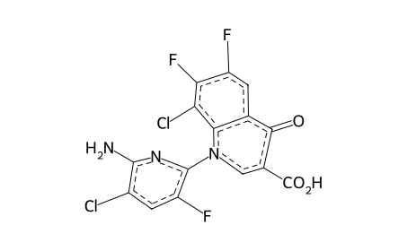 Nc1nc(-n2cc(C(=O)O)c(=O)c3cc(F)c(F)c(Cl)c32)c(F)cc1Cl